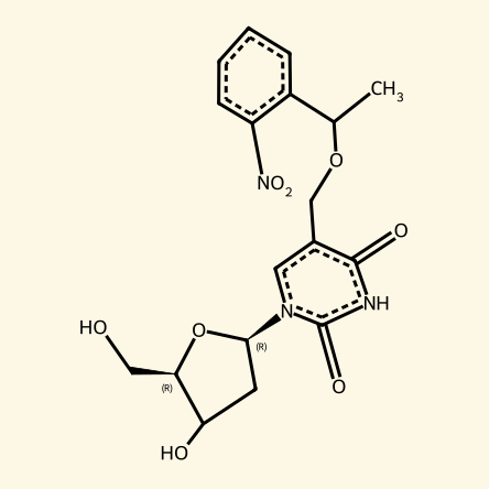 CC(OCc1cn([C@H]2CC(O)[C@@H](CO)O2)c(=O)[nH]c1=O)c1ccccc1[N+](=O)[O-]